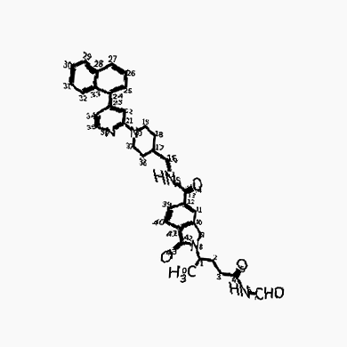 CC(CCC(=O)NC=O)N1Cc2cc(C(=O)NCC3CCN(c4cc(-c5cccc6ccccc56)ccn4)CC3)ccc2C1=O